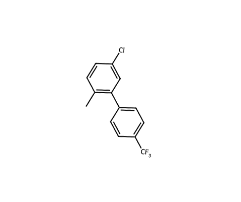 Cc1ccc(Cl)cc1-c1ccc(C(F)(F)F)cc1